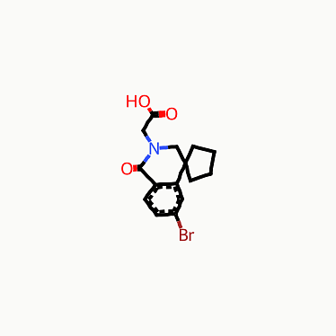 O=C(O)CN1CC2(CCCC2)c2cc(Br)ccc2C1=O